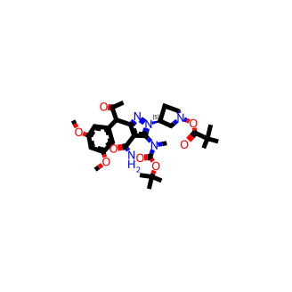 COc1cc(OC)cc(C(C(C)=O)c2nn([C@H]3CCN(OC(=O)C(C)(C)C)C3)c(N(C)C(=O)OC(C)(C)C)c2C(N)=O)c1